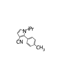 Cc1ccc(-c2c(C#N)ccn2C(C)C)cc1